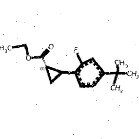 CCOC(=O)[C@H]1CC1c1ccc(C(C)(C)C)cc1F